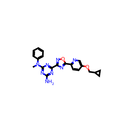 CN(c1ccccc1)c1nc(N)nc(-c2noc(-c3ccc(OCC4CC4)cn3)n2)n1